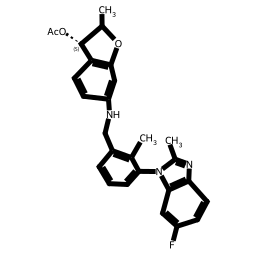 CC(=O)O[C@H]1c2ccc(NCc3cccc(-n4c(C)nc5ccc(F)cc54)c3C)cc2OC1C